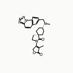 CC1=C(N2CC[C@]3(CC[C@@H](N(C)Cc4ccc5c(ccc6nnnn65)c4)CC3)C2=O)COC1=O